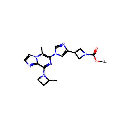 Cc1c(-n2cnc(C3CN(C(=O)OC(C)(C)C)C3)c2)nc(N2CC[C@@H]2C)c2nccn12